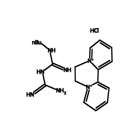 CCCCNC(=N)NC(=N)N.Cl.c1cc[n+]2c(c1)-c1cccc[n+]1CC2